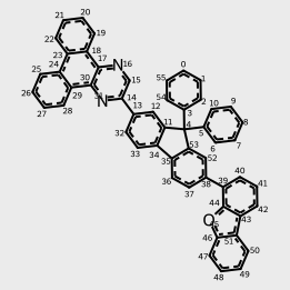 c1ccc(C2(c3ccccc3)c3cc(-c4cnc5c6ccccc6c6ccccc6c5n4)ccc3-c3ccc(-c4cccc5c4oc4ccccc45)cc32)cc1